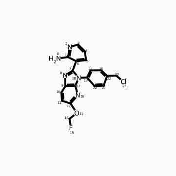 Nc1ncccc1-c1nc2ccc(OCF)nc2n1-c1ccc(CCl)cc1